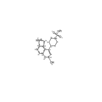 CCCS(=O)(=O)N1CCC(C2=CB(O)Oc3cnc4[nH]ccc4c32)CC1